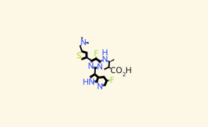 C[C@H](Nc1nc(-c2c[nH]c3ncc(F)cc23)nc(-c2csc(CN(C)C)c2)c1F)[C@H](C)C(=O)O